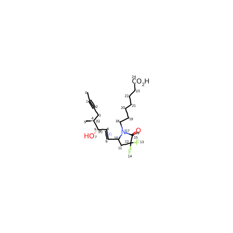 CC#CC[C@H](C)[C@@H](O)/C=C/C1CC(F)(F)C(=O)N1CCCCCCC(=O)O